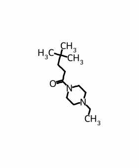 CCN1CCN(C(=O)CCC(C)(C)C)CC1